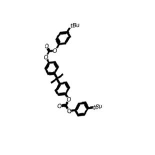 CC(C)(C)c1ccc(OC(=O)Oc2ccc(C(C)(C)c3ccc(OC(=O)Oc4ccc(C(C)(C)C)cc4)cc3)cc2)cc1